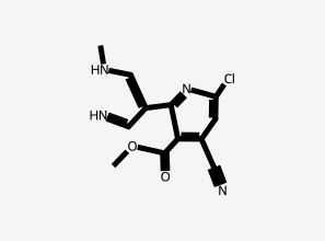 CN/C=C(\C=N)c1nc(Cl)cc(C#N)c1C(=O)OC